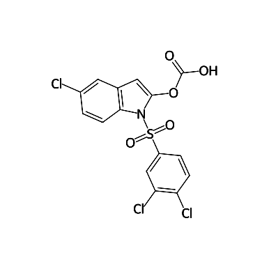 O=C(O)Oc1cc2cc(Cl)ccc2n1S(=O)(=O)c1ccc(Cl)c(Cl)c1